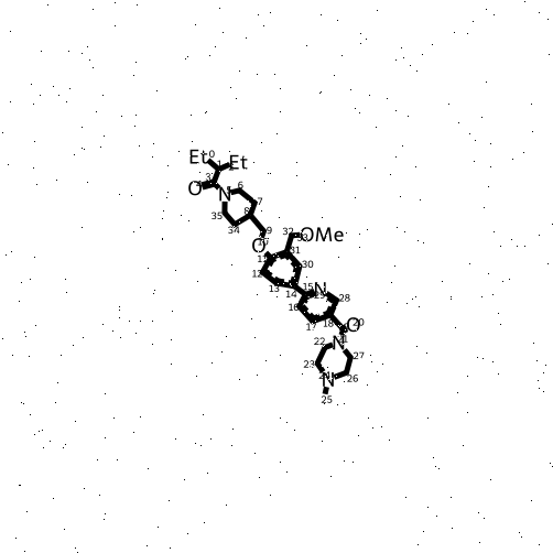 CCC(CC)C(=O)N1CCC(COc2ccc(-c3ccc(C(=O)N4CCN(C)CC4)cn3)cc2COC)CC1